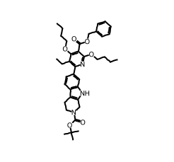 CCCCOc1nc(-c2ccc3c4c([nH]c3c2)CN(C(=O)OC(C)(C)C)CC4)c(CC)c(OCCCC)c1C(=O)OCc1ccccc1